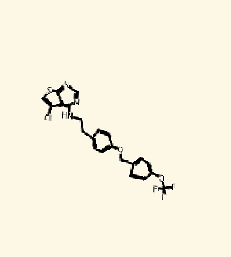 FC(F)(F)Oc1ccc(COc2ccc(CCNc3ncnc4scc(Cl)c34)cc2)cc1